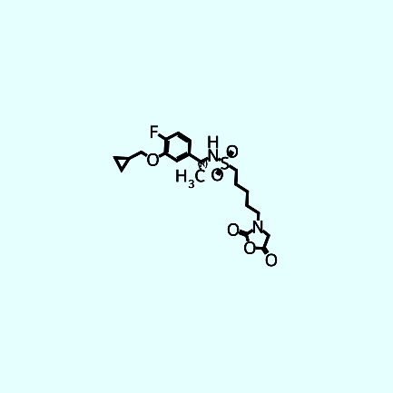 C[C@@H](NS(=O)(=O)CCCCCN1CC(=O)OC1=O)c1ccc(F)c(OCC2CC2)c1